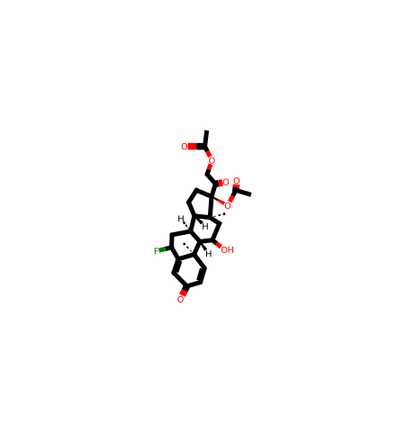 CC(=O)OCC(=O)[C@@]1(OC(C)=O)CC[C@H]2[C@@H]3CC(F)C4=CC(=O)C=C[C@]4(C)[C@H]3C(O)C[C@@]21C